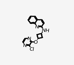 Clc1nccnc1O[C@H]1C[C@H](Nc2ccc3ccccc3n2)C1